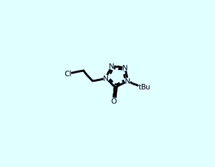 CC(C)(C)n1nnn(CCCl)c1=O